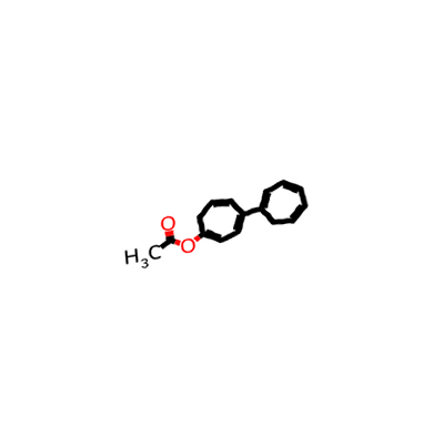 CC(=O)OC1=CC=C(C2=CC=CC=CC2)C=CC1